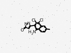 Cc1ccc2c(N)c(C3=CC(=O)N=N3)c(Cl)c(Cl)c2c1